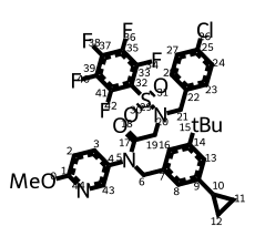 COc1ccc(N(Cc2cc(C3CC3)cc(C(C)(C)C)c2)C(=O)CN(Cc2ccc(Cl)cc2)S(=O)(=O)c2c(F)c(F)c(F)c(F)c2F)cn1